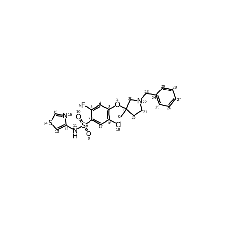 CC1(Oc2cc(F)c(S(=O)(=O)Nc3cscn3)cc2Cl)CCN(Cc2ccccc2)C1